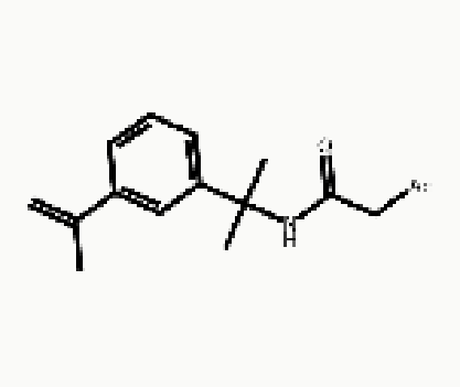 C=C(C)c1cccc(C(C)(C)NC(=O)CC(C)=O)c1